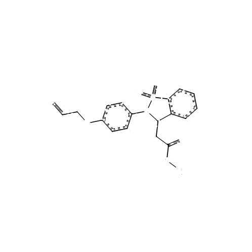 C=CCOc1ccc(N2C(CC(=O)NO)c3ccccc3S2(=O)=O)cc1